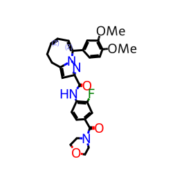 COc1ccc(/C2=C/C=C\CCc3cc(C(=O)Nc4ccc(C(=O)N5CCOCC5)cc4F)nn32)cc1OC